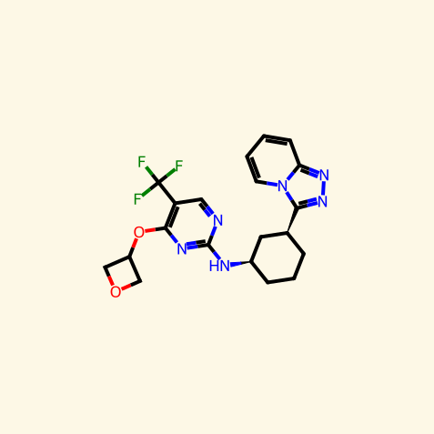 FC(F)(F)c1cnc(N[C@@H]2CCC[C@H](c3nnc4ccccn34)C2)nc1OC1COC1